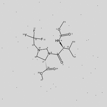 COC(=O)N[C@H](C(=O)N1CN(CC(F)(F)F)C[C@H]1C(=O)OC)C(C)C